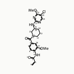 C=CC(=O)Nc1ccc(C(=O)N2CCC[C@H](Nc3ncc(Cl)c(OC)n3)C2)cc1OC